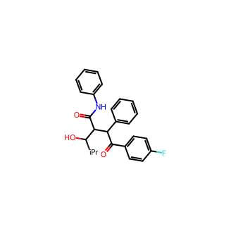 CC(C)C(O)C(C(=O)Nc1ccccc1)C(C(=O)c1ccc(F)cc1)c1ccccc1